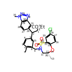 CCOC(=O)CC(c1ccc(C)c(CN2C[C@@H](C)Oc3ccc(Cl)cc3S2(=O)=O)c1)c1ccc2c(c1)nnn2C